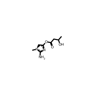 CC(O)CC(=O)Oc1cn(C)c(N)n1